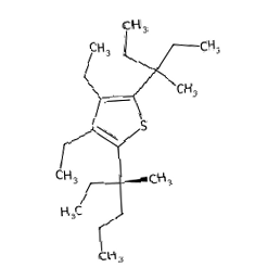 CCC[C@](C)(CC)c1sc(C(C)(CC)CC)c(CC)c1CC